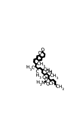 C=C/C=C\C(C)[C@H](OC(N)=O)[C@@H](C)[C@H](O)[C@@H](C)C/C(C)=C\[C@H](C)[C@@H](C)C(C)/C=C\c1ccc2c(c1)OC(=O)CC2